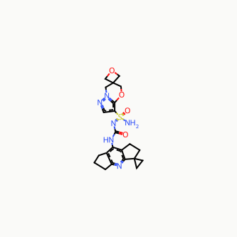 NS(=O)(=NC(=O)Nc1c2c(nc3c1CCC31CC1)CCC2)c1cnn2c1OCC1(COC1)C2